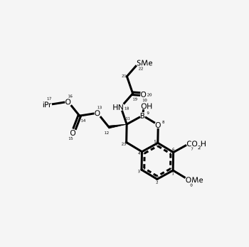 COc1ccc2c(c1C(=O)O)OB(O)[C@@](COC(=O)OC(C)C)(NC(=O)CSC)C2